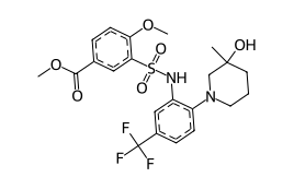 COC(=O)c1ccc(OC)c(S(=O)(=O)Nc2cc(C(F)(F)F)ccc2N2CCCC(C)(O)C2)c1